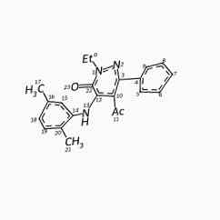 CCn1nc(-c2ccccc2)c(C(C)=O)c(Nc2cc(C)ccc2C)c1=O